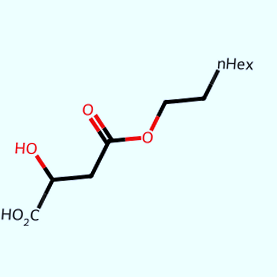 CCCCCCCCOC(=O)CC(O)C(=O)O